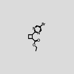 CCOC(=O)C1CCC1c1ncc(Br)cn1